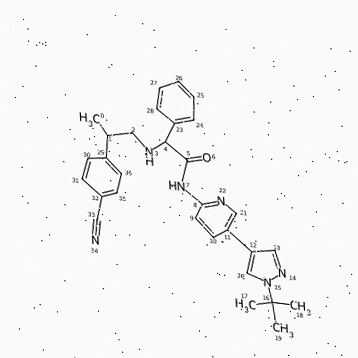 CC(CNC(C(=O)Nc1ccc(-c2cnn(C(C)(C)C)c2)cn1)c1ccccc1)c1ccc(C#N)cc1